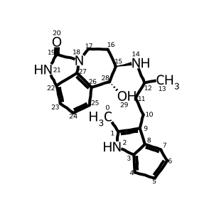 Cc1[nH]c2ccccc2c1CCC(C)N[C@@H]1CCn2c(=O)[nH]c3cccc(c32)[C@H]1O